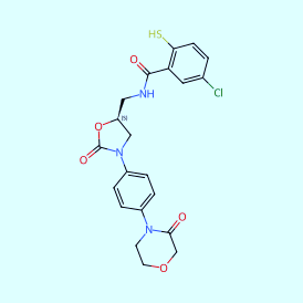 O=C(NC[C@H]1CN(c2ccc(N3CCOCC3=O)cc2)C(=O)O1)c1cc(Cl)ccc1S